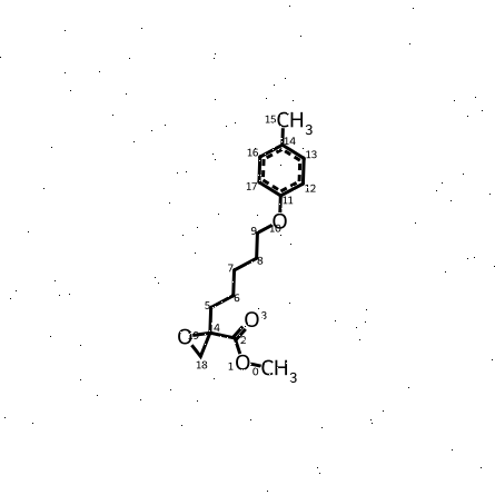 COC(=O)C1(CCCCCOc2ccc(C)cc2)CO1